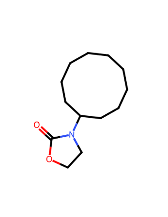 O=C1OCCN1C1CCCCCCCCC1